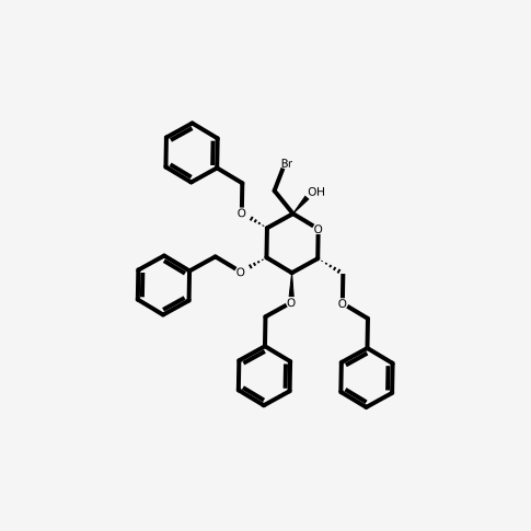 O[C@@]1(CBr)O[C@H](COCc2ccccc2)[C@@H](OCc2ccccc2)[C@H](OCc2ccccc2)[C@@H]1OCc1ccccc1